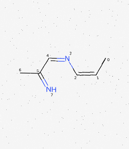 C/C=C\N=C/C(C)=N